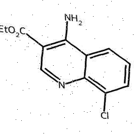 CCOC(=O)c1cnc2c(Cl)cccc2c1N